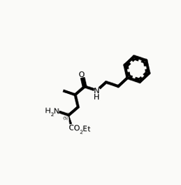 CCOC(=O)[C@@H](N)CC(C)C(=O)NCCc1ccccc1